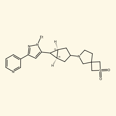 CCn1nc(-c2cccnc2)cc1C1[C@H]2CC(N3CCC4(C3)CS(=O)(=O)C4)C[C@@H]12